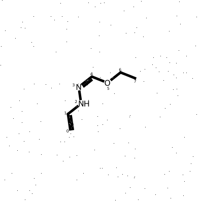 C=CN/N=C\OCC